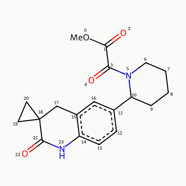 COC(=O)C(=O)N1CCCCC1c1ccc2c(c1)CC1(CC1)C(=O)N2